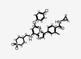 Cc1cc(-c2cnc3c(NCC4CCS(=O)(=O)CC4)cc(Oc4ccc(Cl)cc4)nn23)ccc1C(=O)NC1CC1